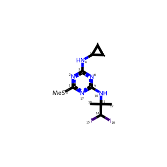 CSc1nc(NC2CC2)nc(NC(C)(C)C(I)I)n1